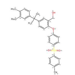 COc1ccc(C(C)(C)c2ccc(Oc3ccc(S(=O)(=O)c4ccc(C)cc4)cc3)c(CO)c2)cc1OC